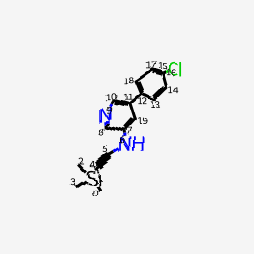 C[Si](C)(C)C#CNc1cncc(-c2ccc(Cl)cc2)c1